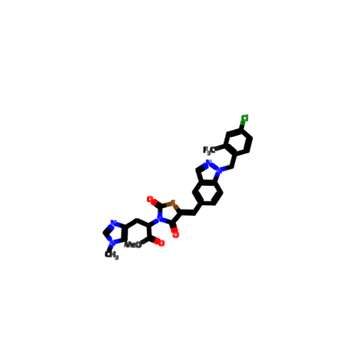 COC(=O)C(Cc1cn(C)cn1)N1C(=O)SC(=Cc2ccc3c(cnn3Cc3ccc(Cl)cc3C(F)(F)F)c2)C1=O